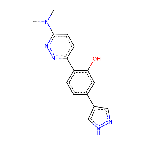 CN(C)c1ccc(-c2ccc(-c3cn[nH]c3)cc2O)nn1